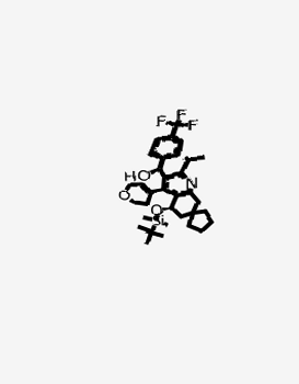 CC(C)c1nc2c(c(C3=CCOCC3)c1C(O)c1ccc(C(F)(F)F)cc1)[C@H](O[Si](C)(C)C(C)(C)C)CC1(CCCC1)C2